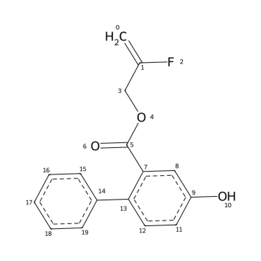 C=C(F)COC(=O)c1cc(O)ccc1-c1ccccc1